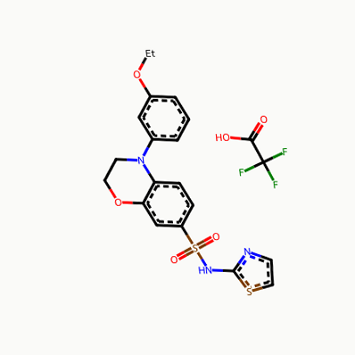 CCOc1cccc(N2CCOc3cc(S(=O)(=O)Nc4nccs4)ccc32)c1.O=C(O)C(F)(F)F